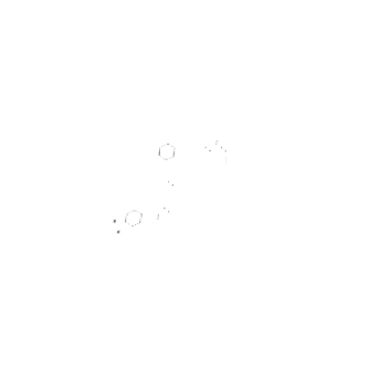 CCN(C(=O)Cc1ccc(S(C)(=O)=O)cc1)C1CCN(CCC(c2ccccc2)C2CCN(C(=O)NC3CCCCC3)CC2)CC1